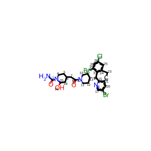 NC(=O)N1CCC(CC(=O)N2CCC([C@H]3c4ncc(Br)cc4CCc4cc(Cl)cc(Br)c43)CC2)CC1O